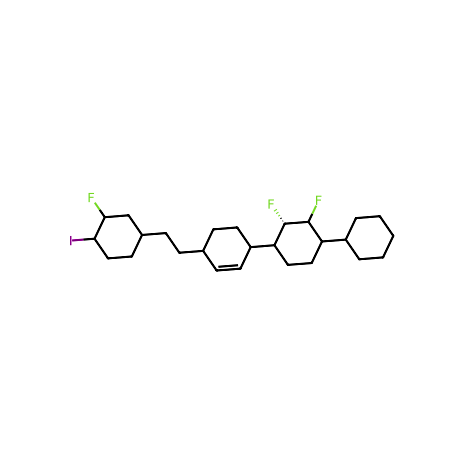 FC1CC(CCC2C=CC(C3CCC(C4CCCCC4)C(F)[C@H]3F)CC2)CCC1I